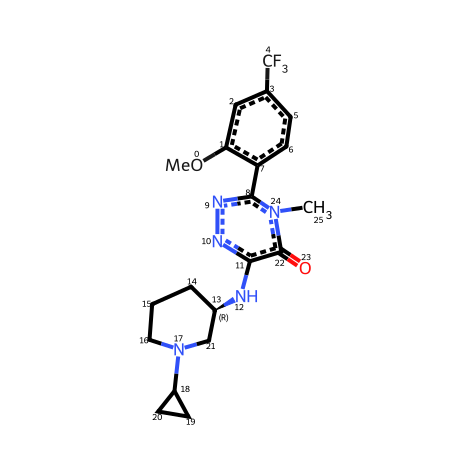 COc1cc(C(F)(F)F)ccc1-c1nnc(N[C@@H]2CCCN(C3CC3)C2)c(=O)n1C